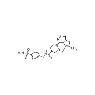 Cc1sc2ncnc(N3CCC(C(=O)NCc4ccc(S(N)(=O)=O)cc4)CC3)c2c1C